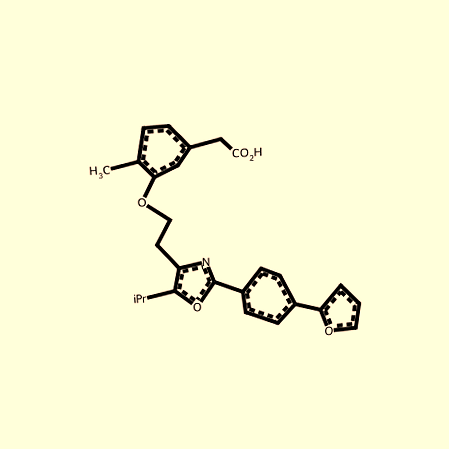 Cc1ccc(CC(=O)O)cc1OCCc1nc(-c2ccc(-c3ccco3)cc2)oc1C(C)C